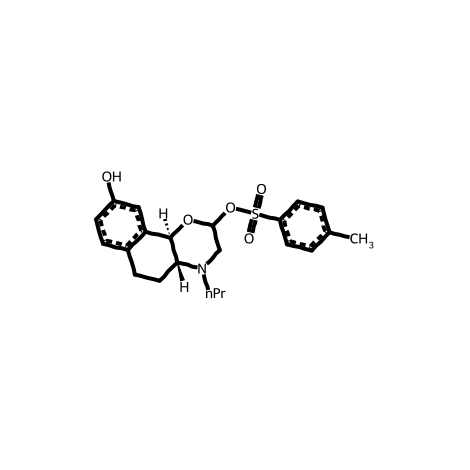 CCCN1CC(OS(=O)(=O)c2ccc(C)cc2)O[C@@H]2c3cc(O)ccc3CC[C@H]21